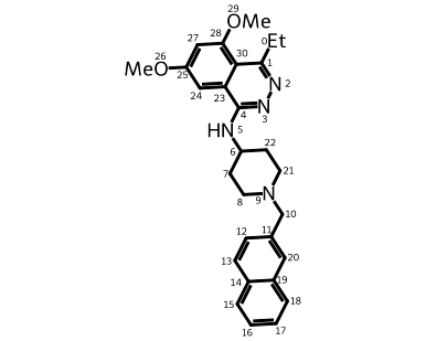 CCc1nnc(NC2CCN(Cc3ccc4ccccc4c3)CC2)c2cc(OC)cc(OC)c12